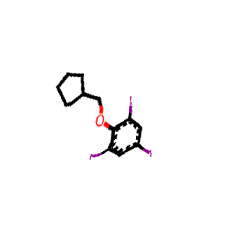 Ic1cc(I)c(OCC2CCCC2)c(I)c1